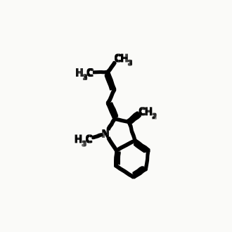 C=c1/c(=C\C=C(C)C)n(C)c2ccccc12